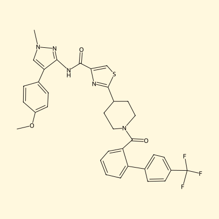 COc1ccc(-c2cn(C)nc2NC(=O)c2csc(C3CCN(C(=O)c4ccccc4-c4ccc(C(F)(F)F)cc4)CC3)n2)cc1